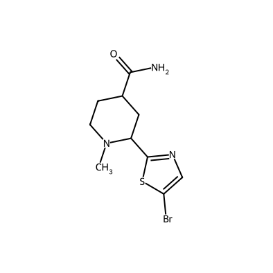 CN1CCC(C(N)=O)CC1c1ncc(Br)s1